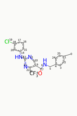 Cc1ccc(CNC(=O)c2cnc(Nc3cccc(Cl)c3)nc2C(F)(F)F)cc1